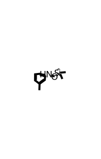 Cc1cccc(NO[Si](C)(C)C)c1